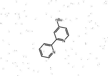 CCCCc1ccnc(-c2ccccn2)c1